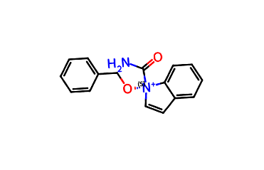 NC(=O)[N@+]1(OCc2ccccc2)C=Cc2ccccc21